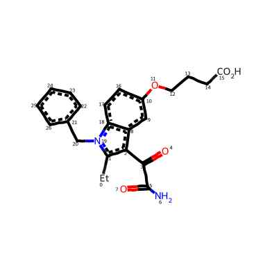 CCc1c(C(=O)C(N)=O)c2cc(OCCCC(=O)O)ccc2n1Cc1ccccc1